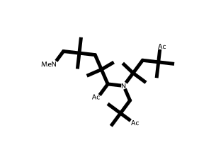 CNCC(C)(C)CC(C)(C)C(C(C)=O)N(CC(C)(C)C(C)=O)C(C)(C)CC(C)(C)C(C)=O